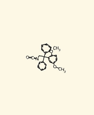 COc1ccc(OC)c(C(CN=C=O)(c2ccccc2)c2ccccc2)c1